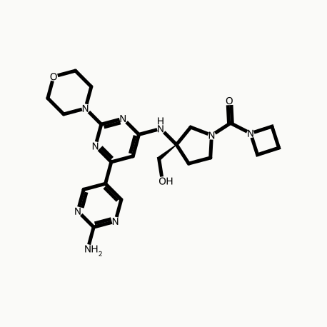 Nc1ncc(-c2cc(N[C@@]3(CO)CCN(C(=O)N4CCC4)C3)nc(N3CCOCC3)n2)cn1